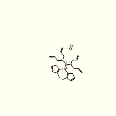 C=CCN(CC=C)[SiH](N(CC=C)CC=C)[Hf+2]([C]1=C(C)C=CC1)[C]1=C(C)C=CC1.[Cl-].[Cl-]